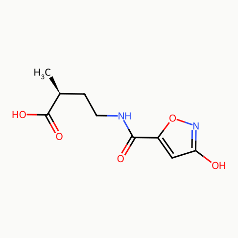 C[C@@H](CCNC(=O)c1cc(O)no1)C(=O)O